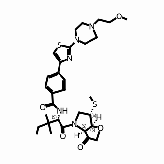 CCC(C)(C)[C@H](NC(=O)c1ccc(-c2csc(N3CCN(CCOC)CC3)n2)cc1)C(=O)N1C[C@H](SC)[C@H]2OCC(=O)[C@H]21